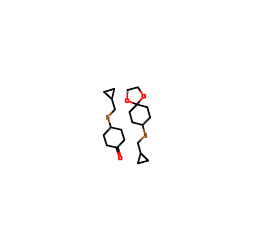 C1COC2(CCC(SCC3CC3)CC2)O1.O=C1CCC(SCC2CC2)CC1